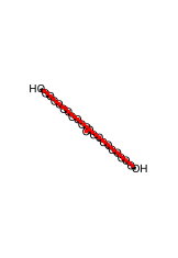 O=C(OCCOCCOCCOCCOCCOCCOCCOCCOCCOCCO)OCCOCCOCCOCCOCCOCCOCCOCCOCCOCCO